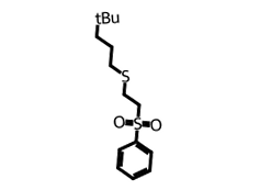 CC(C)(C)CCCSCCS(=O)(=O)c1ccccc1